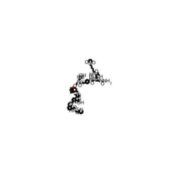 Cc1c(-c2ccc(N3CCc4cccc(C(=O)Nc5nc6cccnc6s5)c4C3)nc2C(=O)O)cnn1CC12CC3(OCCN(CCS(=O)(=O)O)C(=O)OCc4ccc(NC(=O)[C@H](CCCNC(N)=O)NC(=O)C(NC(=O)CCCCCN5C(=O)C=CC5=O)C(C)C)cc4)CC4(C)CC(C)(C1)C4(C2)C3